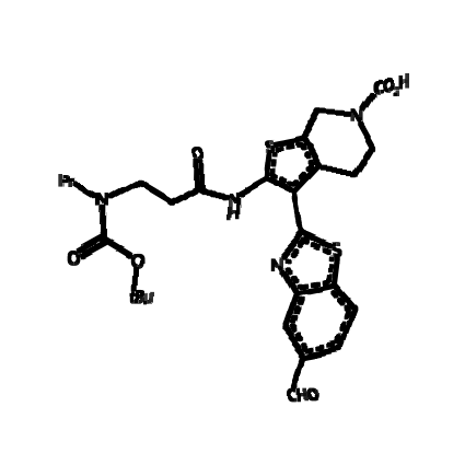 CC(C)N(CCC(=O)Nc1sc2c(c1-c1nc3cc(C=O)ccc3s1)CCN(C(=O)O)C2)C(=O)OC(C)(C)C